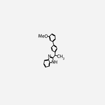 COc1cccc(-c2ccc(C(C)c3nc4ccccc4[nH]3)cc2)c1